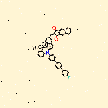 CC1(C)c2ccccc2N(c2ccc(-c3ccc(-c4ccc(F)cc4)cc3)cc2)c2ccc3cc(C=C4C(=O)c5cc6ccccc6cc5C4=O)ccc3c21